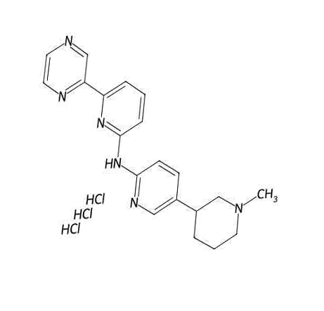 CN1CCCC(c2ccc(Nc3cccc(-c4cnccn4)n3)nc2)C1.Cl.Cl.Cl